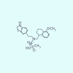 COc1cccc2c1CCCC2CN(C)CCc1ccc2c(c1)SCN2.CS(=O)(=O)O